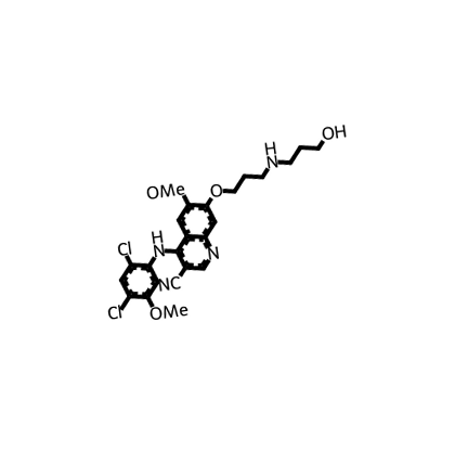 COc1cc(Nc2c(C#N)cnc3cc(OCCCNCCCO)c(OC)cc23)c(Cl)cc1Cl